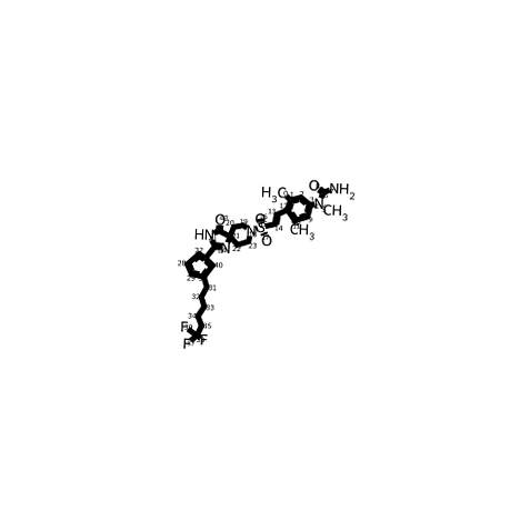 Cc1cc(N(C)C(N)=O)cc(C)c1/C=C/S(=O)(=O)N1CCC2(CC1)N=C(c1cccc(CCCCCC(F)(F)F)c1)NC2=O